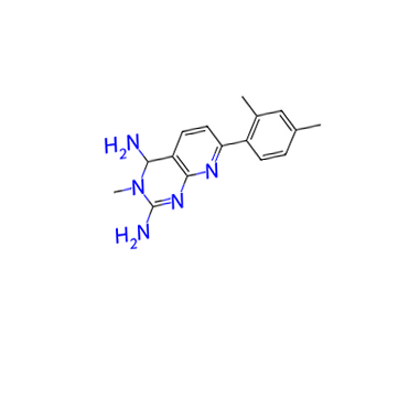 Cc1ccc(-c2ccc3c(n2)N=C(N)N(C)C3N)c(C)c1